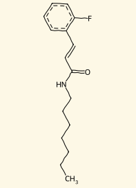 CCCCCCCNC(=O)C=Cc1ccccc1F